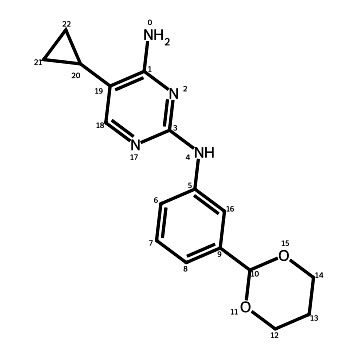 Nc1nc(Nc2cccc(C3OCCCO3)c2)ncc1C1CC1